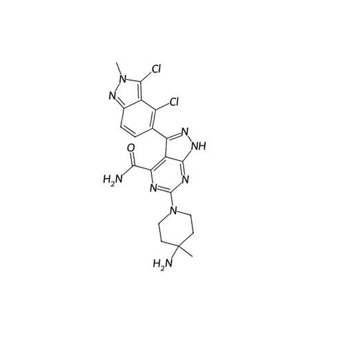 Cn1nc2ccc(-c3n[nH]c4nc(N5CCC(C)(N)CC5)nc(C(N)=O)c34)c(Cl)c2c1Cl